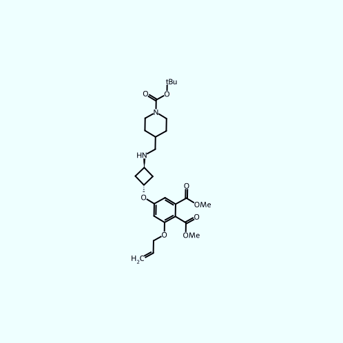 C=CCOc1cc(O[C@H]2C[C@H](NCC3CCN(C(=O)OC(C)(C)C)CC3)C2)cc(C(=O)OC)c1C(=O)OC